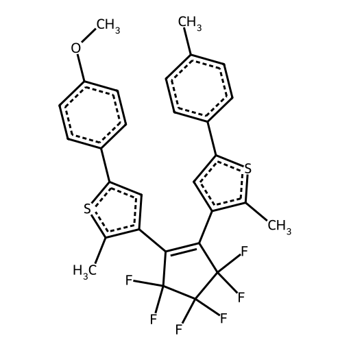 COc1ccc(-c2cc(C3=C(c4cc(-c5ccc(C)cc5)sc4C)C(F)(F)C(F)(F)C3(F)F)c(C)s2)cc1